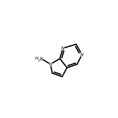 Bn1ccc2cncnc21